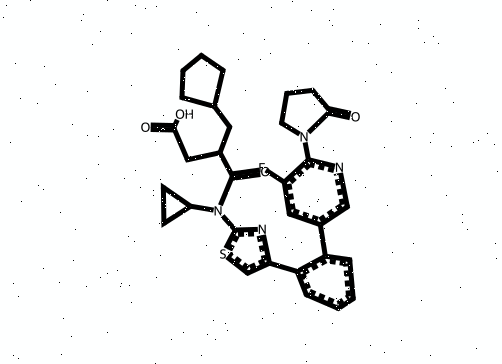 O=C(O)CC(CC1CCCC1)C(=O)N(c1nc(-c2ccccc2-c2cnc(N3CCCC3=O)c(F)c2)cs1)C1CC1